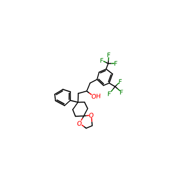 OC(Cc1cc(C(F)(F)F)cc(C(F)(F)F)c1)CC1(c2ccccc2)CCC2(CC1)OCCO2